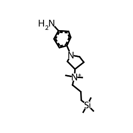 C[N+](C)(CCC[Si](C)(C)C)C1CCN(c2ccc(N)cc2)C1